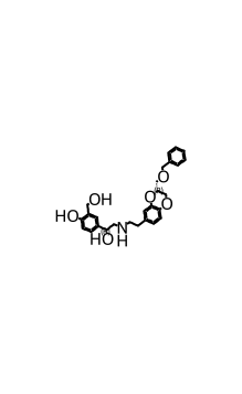 OCc1cc([C@@H](O)CNCCc2ccc3c(c2)O[C@H](COCc2ccccc2)CO3)ccc1O